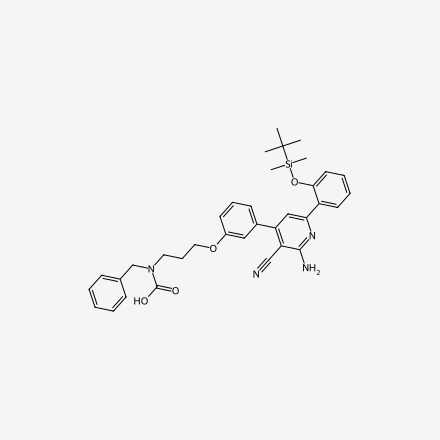 CC(C)(C)[Si](C)(C)Oc1ccccc1-c1cc(-c2cccc(OCCCN(Cc3ccccc3)C(=O)O)c2)c(C#N)c(N)n1